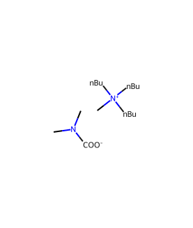 CCCC[N+](C)(CCCC)CCCC.CN(C)C(=O)[O-]